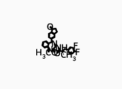 C[C@@H](Cc1ccc(F)c(F)c1)C(=O)NC1N=C(c2ccc3c(c2)CCC3=O)c2ccccc2N(C)C1=O